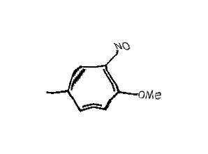 COc1ccc(C)cc1N=O